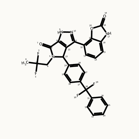 CC(F)(F)CN1C(=O)c2[nH]nc(-c3cccc4[nH]c(=O)oc34)c2C1c1ccc(C(F)(F)c2ccccc2)cc1